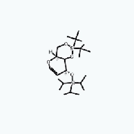 CC(C)[Si](O[C@@H]1C=CO[C@@H]2CO[Si](C(C)(C)C)(C(C)(C)C)OC12)(C(C)C)C(C)C